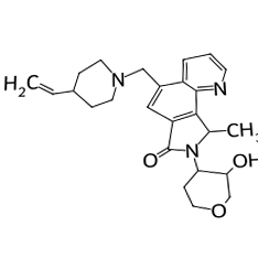 C=CC1CCN(Cc2cc3c(c4ncccc24)C(C)N(C2CCOCC2O)C3=O)CC1